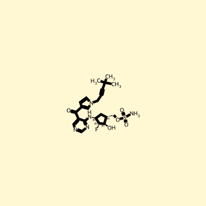 CC(C)(C)C#CCn1ccc(C(=O)c2cncnc2N[C@@H]2C[C@H](COS(N)(=O)=O)[C@@H](O)[C@@H]2F)c1